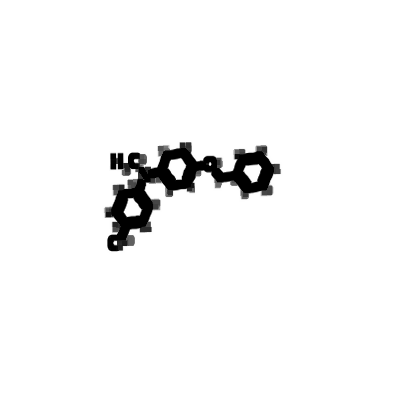 CN(C1=CC=C(OCc2ccccc2)[CH]C1)c1ccc(Cl)cc1